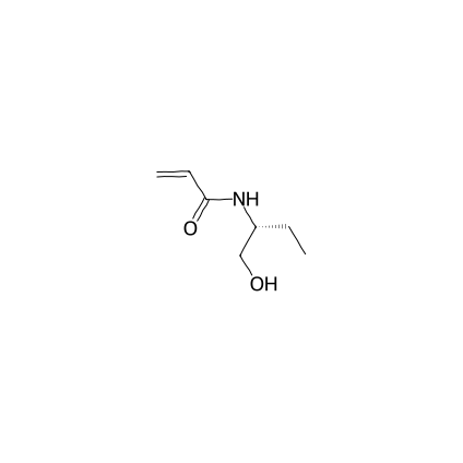 C=CC(=O)N[C@H](CC)CO